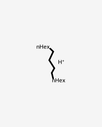 CCCCCCCCCCCCCCCC.[H+]